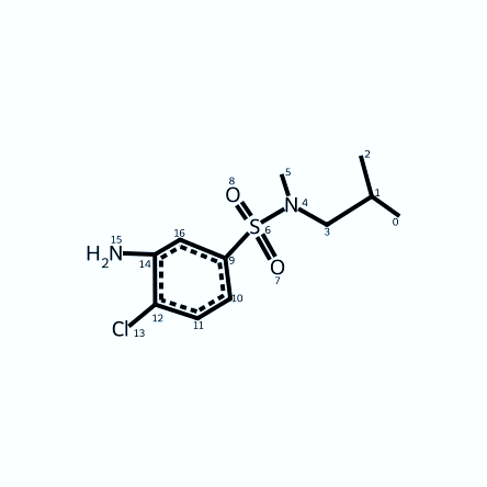 CC(C)CN(C)S(=O)(=O)c1ccc(Cl)c(N)c1